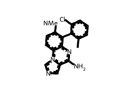 CNc1ccc2c(nc(N)c3cncn32)c1-c1c(C)cccc1Cl